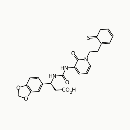 O=C(O)C[C@H](NC(=O)Nc1cccn(CCC2=CC=CCC2=S)c1=O)c1ccc2c(c1)OCO2